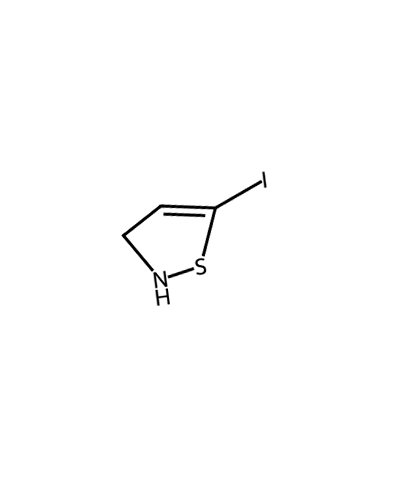 IC1=CCNS1